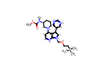 CCN(C(=O)OC(C)(C)C)[C@H]1CCCN(c2ccnc3c2c(-c2cncnc2)cn3COCC[Si](C)(C)C)C1